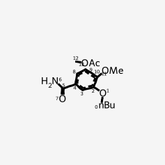 CCCCOc1cc(C(N)=O)ccc1OC.COC(C)=O